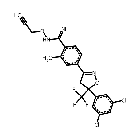 C#CCONC(=N)c1ccc(C2=NOC(c3cc(Cl)cc(Cl)c3)(C(F)(F)F)C2)cc1C